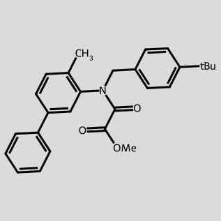 COC(=O)C(=O)N(Cc1ccc(C(C)(C)C)cc1)c1cc(-c2ccccc2)ccc1C